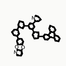 c1ccc(-c2cc(-c3cccc(-c4cccc(-c5ccc6c(c5)Oc5ncccc5O6)c4)c3)cc(-c3cccc(-c4ccc5c6ccccc6c6ccccc6c5c4)c3)c2)nc1